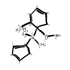 CCCCOC1([Si](C)(C)C2=CC=CC2)CC=CC=C1C